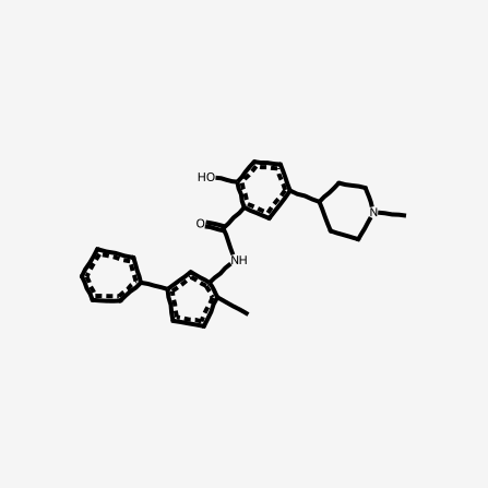 Cc1ccc(-c2ccccc2)cc1NC(=O)c1cc(C2CCN(C)CC2)ccc1O